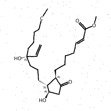 C=C[C@](O)(CCCCCC)CCC[C@H]1[C@H](O)CC(=O)[C@@H]1CCCCC=CC(=O)OC